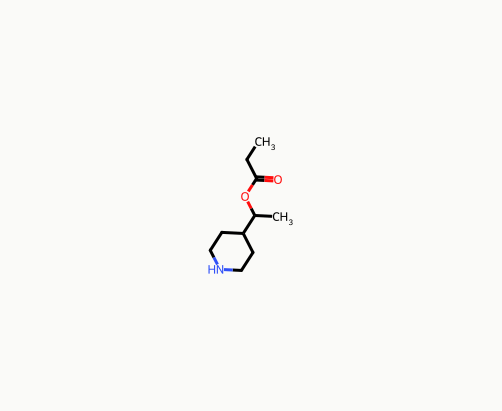 CCC(=O)OC(C)C1CCNCC1